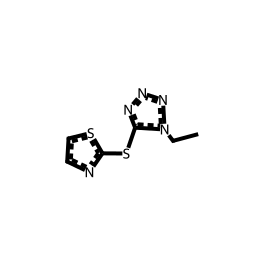 CCn1nnnc1Sc1nccs1